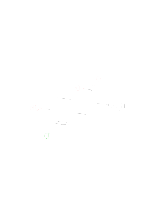 O=C(O)C1Cc2cc(Cl)c(O)cc2OC1=O